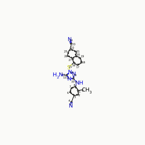 Cc1cc(C#N)ccc1Nc1nc(N)n(Sc2cccc3cc(C#N)ccc23)n1